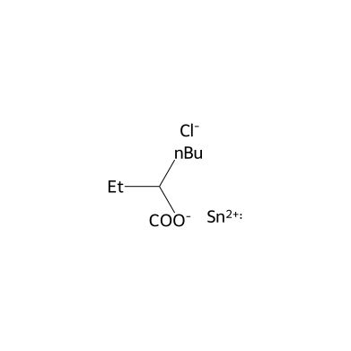 CCCCC(CC)C(=O)[O-].[Cl-].[Sn+2]